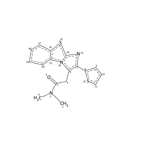 CN(C)C(=O)Cc1c(-c2cccs2)nc2sc3ccccc3n12